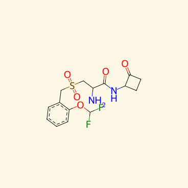 NC(CS(=O)(=O)Cc1ccccc1OC(F)F)C(=O)NC1CCC1=O